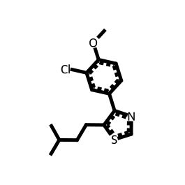 COc1ccc(-c2ncsc2CCC(C)C)cc1Cl